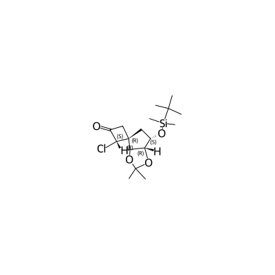 CC1(C)O[C@H]2[C@@H](O[Si](C)(C)C(C)(C)C)C[C@@]3(CC(=O)[C@@]3(C)Cl)[C@H]2O1